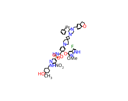 COc1nc2[nH]cc(F)c2cc1Oc1cc(N2CCC3(CC2)CC(N2CCN(Cc4ccc5c(c4)CCO5)C[C@H]2c2ccccc2C(C)C)C3)ccc1C(=O)NS(=O)(=O)c1cnc(NCC2CCC(C)(O)CC2)c([N+](=O)[O-])c1